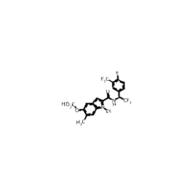 CCn1c(C(=O)NC(c2ccc(F)c(C(F)(F)F)c2)C(F)(F)F)cc2cc(OC(=O)O)c(C)cc21